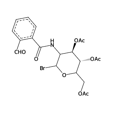 CC(=O)OCC1OC(Br)C(NC(=O)c2ccccc2C=O)[C@@H](OC(C)=O)[C@@H]1OC(C)=O